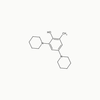 Cc1cc(N2CCCCC2)cc(N2CCCCC2)c1O